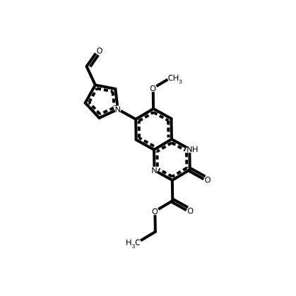 CCOC(=O)c1nc2cc(-n3ccc(C=O)c3)c(OC)cc2[nH]c1=O